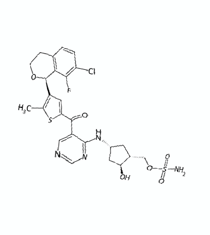 Cc1sc(C(=O)c2cncnc2N[C@@H]2C[C@H](COS(N)(=O)=O)[C@@H](O)C2)cc1[C@H]1OCCc2ccc(Cl)c(F)c21